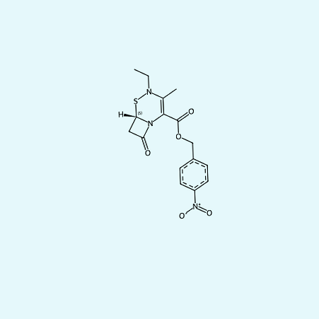 CCN1S[C@H]2CC(=O)N2C(C(=O)OCc2ccc([N+](=O)[O-])cc2)=C1C